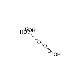 O=P(O)(O)CCCCCCOCCOCCOCCO